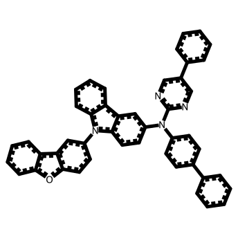 c1ccc(-c2ccc(N(c3ccc4c(c3)c3ccccc3n4-c3ccc4oc5ccccc5c4c3)c3ncc(-c4ccccc4)cn3)cc2)cc1